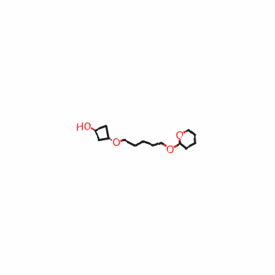 O[C@H]1C[C@H](OCCCCCOC2CCCCO2)C1